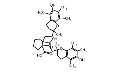 Cc1c(C)c2c(c(C)c1O)CCC(C)(CCC1(C(=O)O)CCCCC1(CCC1(C)CCc3c(C)c(O)c(C)c(C)c3O1)C(=O)O)O2